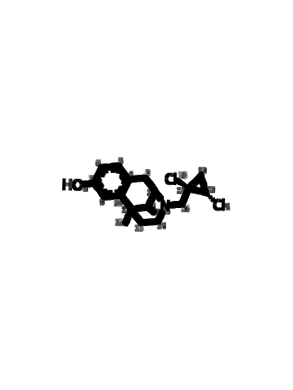 CC1C2Cc3ccc(O)cc3C1(C)CCN2C[C@]1(Cl)C[C@@H]1Cl